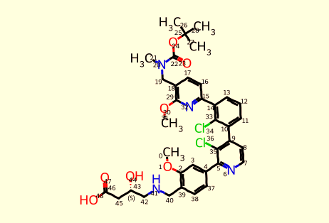 COc1cc(-c2nccc(-c3cccc(-c4ccc(CN(C)C(=O)OC(C)(C)C)c(OC)n4)c3Cl)c2Cl)ccc1CNC[C@@H](O)CC(=O)O